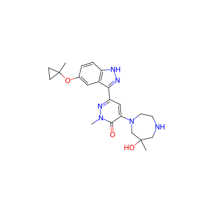 Cn1nc(-c2n[nH]c3ccc(OC4(C)CC4)cc23)cc(N2CCNCC(C)(O)C2)c1=O